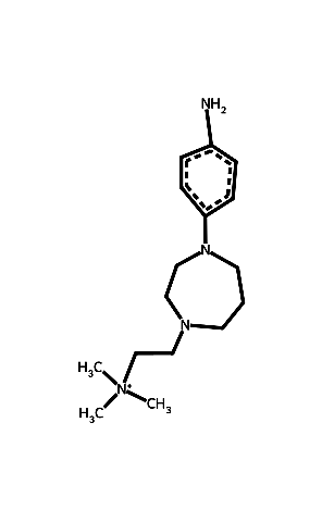 C[N+](C)(C)CCN1CCCN(c2ccc(N)cc2)CC1